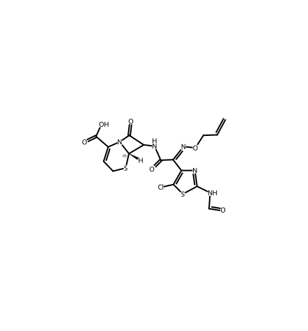 C=CCON=C(C(=O)NC1C(=O)N2C(C(=O)O)=CCS[C@@H]12)c1nc(NC=O)sc1Cl